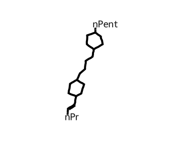 CCC/C=C/C1CCC(CCCCC2CCC(CCCCC)CC2)CC1